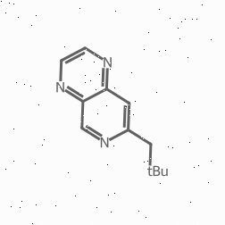 CC(C)(C)Cc1cc2nccnc2cn1